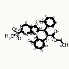 CCOC(=O)C=C(c1ccccc1Cl)c1cc2cnc(S(C)(=O)=O)nc2n1-c1c(F)cccc1F